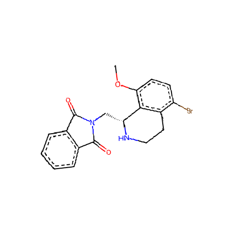 COc1ccc(Br)c2c1[C@@H](CN1C(=O)c3ccccc3C1=O)NCC2